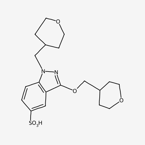 O=S(=O)(O)c1ccc2c(c1)c(OCC1CCOCC1)nn2CC1CCOCC1